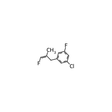 C/C(=C/F)Cc1cc(F)cc(Cl)c1